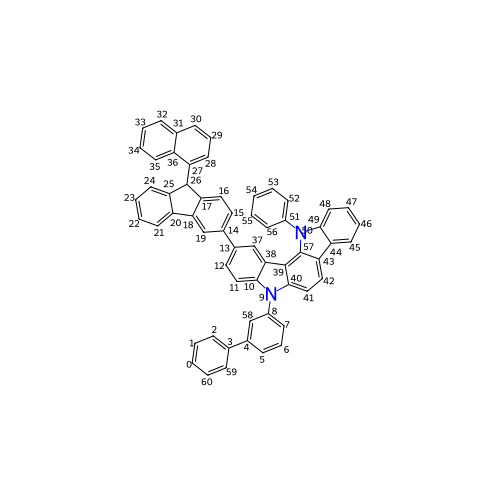 c1ccc(-c2cccc(-n3c4ccc(-c5ccc6c(c5)-c5ccccc5C6c5cccc6ccccc56)cc4c4c3ccc3c5ccccc5n(-c5ccccc5)c34)c2)cc1